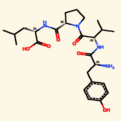 CC(C)C[C@H](NC(=O)[C@@H]1CCCN1C(=O)[C@@H](NC(=O)[C@@H](N)Cc1ccc(O)cc1)C(C)C)C(=O)O